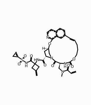 C=CC(=O)N(C)C[C@@H]1NC(=O)OCCC/C=C/c2ccc3ccnc(c3c2)O[C@@H]2C[C@@H](C(=O)NC3(C(=O)NS(=O)(=O)C4=CC4)CC(=C)C3)N(C2)C1=O